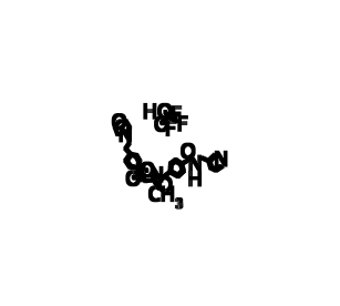 Cc1oc(-c2ccc(C(=O)NCc3cccnc3)cc2)nc1CS(=O)(=O)c1ccc(CCN2CCOCC2)cc1.O=C(O)C(F)(F)F